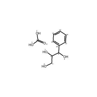 O=C(O)O.OCC(O)C(O)c1ccccc1